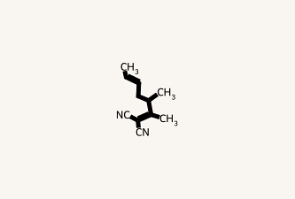 CC=CCC(C)C(C)=C(C#N)C#N